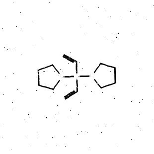 C=C[Si](C=C)(N1CCCC1)N1CCCC1